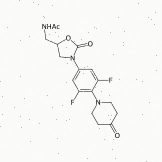 CC(=O)NCC1CN(c2cc(F)c(N3CCC(=O)CC3)c(F)c2)C(=O)O1